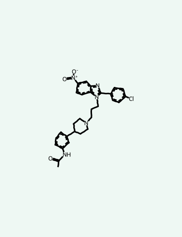 CC(=O)Nc1cccc(C2CCN(CCCn3c(-c4ccc(Cl)cc4)nc4cc([N+](=O)[O-])ccc43)CC2)c1